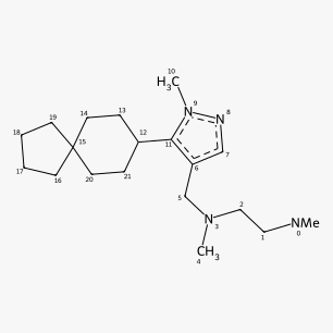 CNCCN(C)Cc1cnn(C)c1C1CCC2(CCCC2)CC1